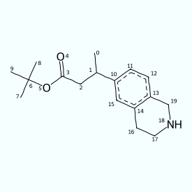 CC(CC(=O)OC(C)(C)C)c1ccc2c(c1)CCNC2